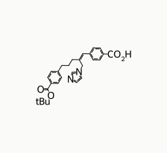 CC(C)(C)OC(=O)c1ccc(CCCC(=Cc2ccc(C(=O)O)cc2)Cn2ccnc2)cc1